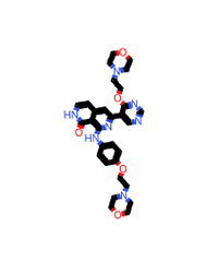 O=c1[nH]ccc2cc(-c3cncnc3OCCN3CCOCC3)nc(Nc3ccc(OCCN4CCOCC4)cc3)c12